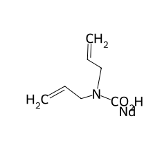 C=CCN(CC=C)C(=O)O.[Nd]